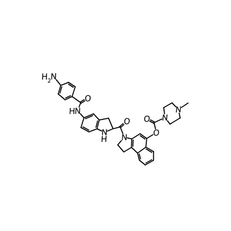 CN1CCN(C(=O)Oc2cc3c(c4ccccc24)CCN3C(=O)C2Cc3cc(NC(=O)c4ccc(N)cc4)ccc3N2)CC1